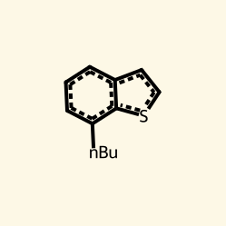 CCCCc1cccc2ccsc12